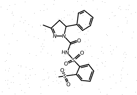 CC1=NN(C(=O)NS(=O)(=O)c2ccccc2S(C)(=O)=O)C(c2ccccc2)C1